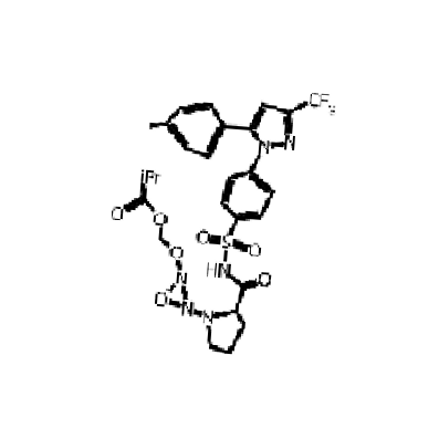 Cc1ccc(-c2cc(C(F)(F)F)nn2-c2ccc(S(=O)(=O)NC(=O)C3CCCN3n3on3OCOC(=O)C(C)C)cc2)cc1